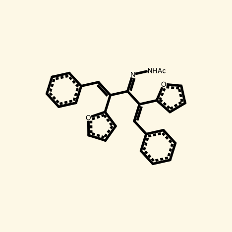 CC(=O)NN=C(C(=Cc1ccccc1)c1ccco1)C(=Cc1ccccc1)c1ccco1